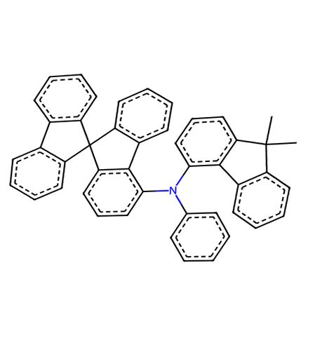 CC1(C)c2ccccc2-c2c(N(c3ccccc3)c3cccc4c3-c3ccccc3C43c4ccccc4-c4ccccc43)cccc21